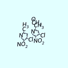 C=O.Cc1cc(Cl)c([N+](=O)[O-])cn1.Cc1cc(Cl)c([N+](=O)[O-])cn1